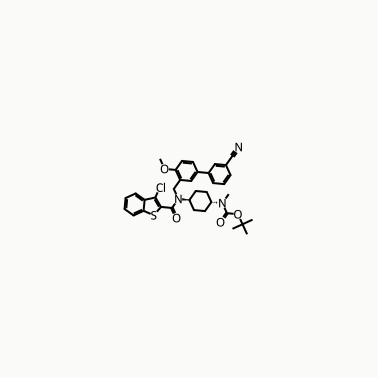 COc1ccc(-c2cccc(C#N)c2)cc1CN(C(=O)c1sc2ccccc2c1Cl)[C@H]1CC[C@H](N(C)C(=O)OC(C)(C)C)CC1